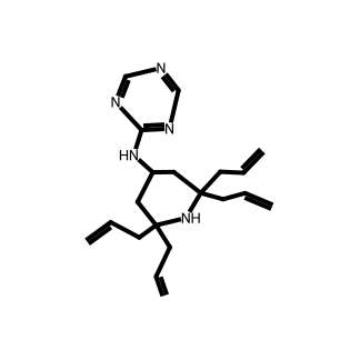 C=CCC1(CC=C)CC(Nc2ncncn2)CC(CC=C)(CC=C)N1